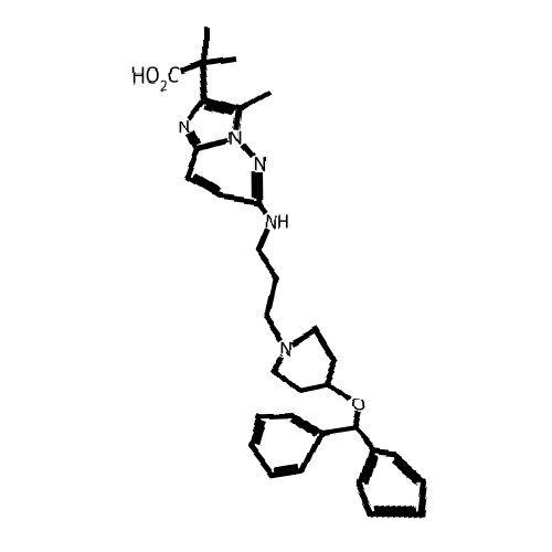 Cc1c(C(C)(C)C(=O)O)nc2ccc(NCCCN3CCC(OC(c4ccccc4)c4ccccc4)CC3)nn12